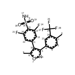 Cc1ccc(-c2noc(C)c2-c2cc(F)c(S(N)(=O)=O)c(F)c2)cc1C(F)(F)F